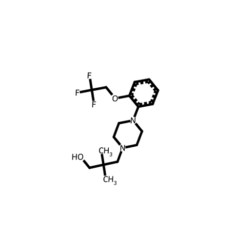 CC(C)(CO)CN1CCN(c2ccccc2OCC(F)(F)F)CC1